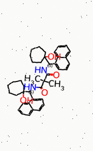 CC(C)(C(=O)N[C@@H](c1cccc2ccccc12)C1(O)CCCCCC1)C(=O)N[C@@H](c1cccc2ccccc12)C1(O)CCCCCC1